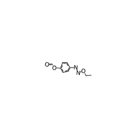 CCON=Nc1ccc(OC=O)cc1